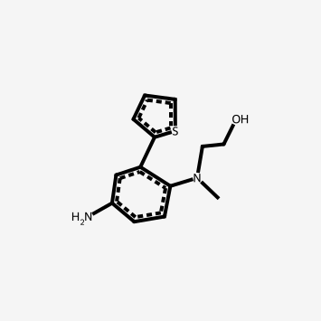 CN(CCO)c1ccc(N)cc1-c1cccs1